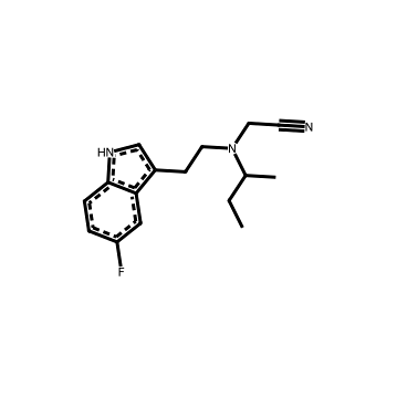 CCC(C)N(CC#N)CCc1c[nH]c2ccc(F)cc12